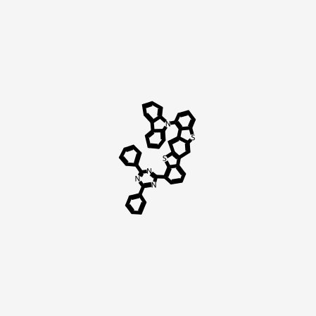 c1ccc(-c2nc(-c3ccccc3)nc(-c3cccc4c3sc3cc5c(cc34)sc3cccc(-n4c6ccccc6c6ccccc64)c35)n2)cc1